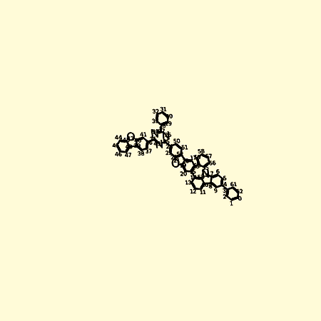 c1ccc(-c2ccc3c(c2)c2cccc(-c4ccc5c(c4)oc4cc(-c6nc(-c7ccccc7)nc(-c7ccc8c(c7)oc7ccccc78)n6)ccc45)c2n3-c2ccccc2)cc1